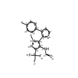 Cc1ccc(-c2ccsc2-c2c(NC=O)c(C(F)(F)F)nn2C)cc1